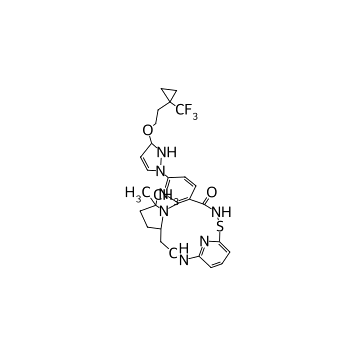 CC1(C)CCC2CCNc3cccc(n3)SNC(=O)c3ccc(N4C=CC(OCCC5(C(F)(F)F)CC5)N4)nc3N21